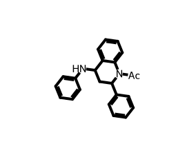 CC(=O)N1c2ccccc2C(Nc2ccccc2)CC1c1ccccc1